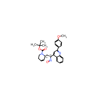 COc1ccc(-c2cc([C@H](C[C@H]3C=CCCN3C(=O)OC(C)(C)C)N=O)c3ccccc3n2)cc1